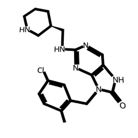 Cc1ccc(Cl)cc1Cn1c(=O)[nH]c2cnc(NC[C@@H]3CCCNC3)nc21